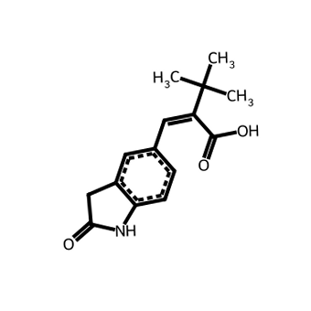 CC(C)(C)C(=Cc1ccc2c(c1)CC(=O)N2)C(=O)O